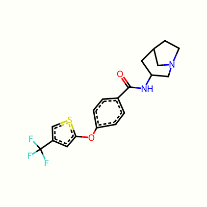 O=C(NC1CC2CCN(C2)C1)c1ccc(Oc2cc(C(F)(F)F)cs2)cc1